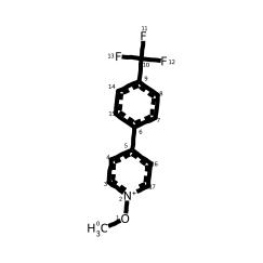 CO[n+]1ccc(-c2ccc(C(F)(F)F)cc2)cc1